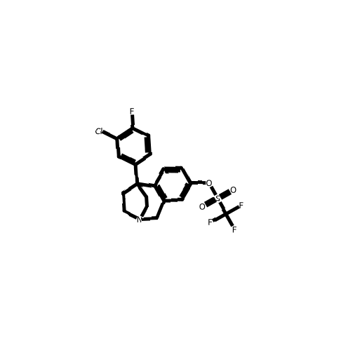 O=S(=O)(Oc1ccc2c(c1)CN1CCC2(c2ccc(F)c(Cl)c2)CC1)C(F)(F)F